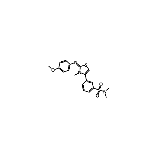 COc1ccc(N=c2scc(-c3cccc(S(=O)(=O)N(C)C)c3)n2C)cc1